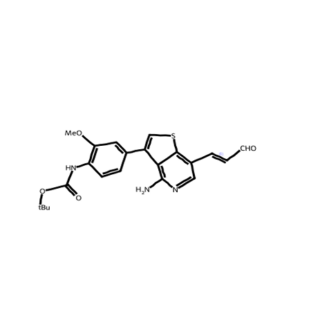 COc1cc(-c2csc3c(/C=C/C=O)cnc(N)c23)ccc1NC(=O)OC(C)(C)C